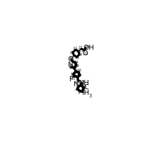 Cc1cccc2nc(-c3ccc(-c4ccc(O[C@H]5CC[C@H](CC(=O)O)CC5)nc4)cc3F)[nH]c12